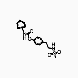 CS(=O)(=O)NCCc1ccc(OC(=O)Nc2ccccc2)cc1